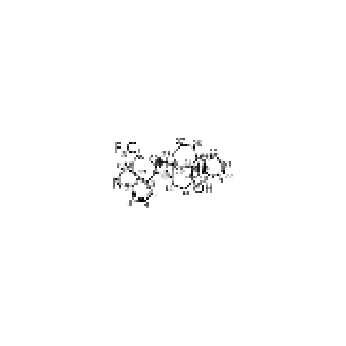 O=C(c1cccc2ncn(CC(F)(F)F)c12)N1CCC(O)(c2ccccc2)[C@H]2CCCC[C@H]21